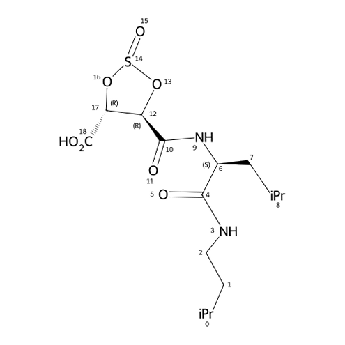 CC(C)CCNC(=O)[C@H](CC(C)C)NC(=O)[C@@H]1OS(=O)O[C@H]1C(=O)O